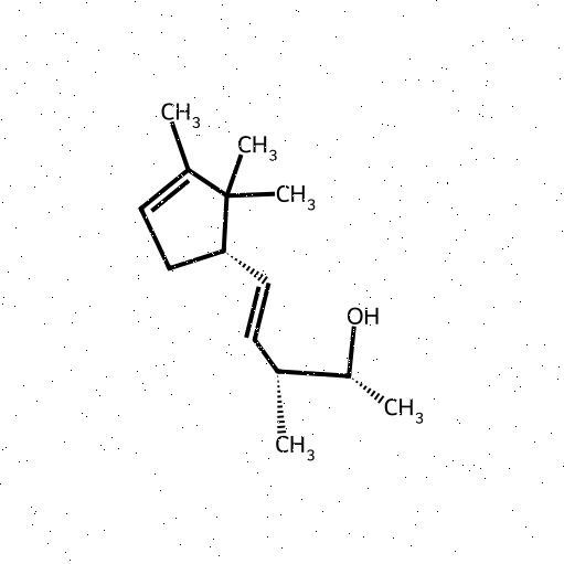 CC1=CC[C@@H](/C=C/[C@@H](C)[C@@H](C)O)C1(C)C